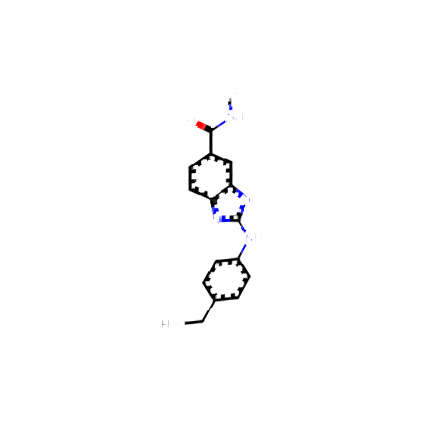 CCc1ccc(Nc2nc3cc(C(=O)NC)ccc3[nH]2)cc1